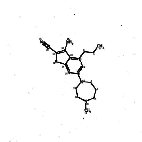 CCCc1cc(N2CCCN(C)CC2)nc2sc(C#N)c(N)c12